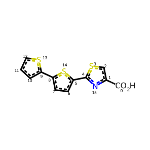 O=C(O)c1csc(-c2ccc(-c3cccs3)s2)n1